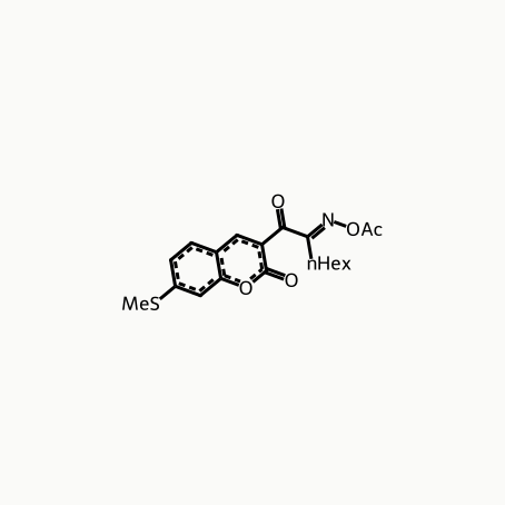 CCCCCC/C(=N\OC(C)=O)C(=O)c1cc2ccc(SC)cc2oc1=O